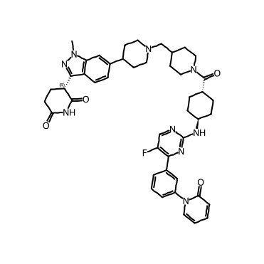 Cn1nc([C@H]2CCC(=O)NC2=O)c2ccc(C3CCN(CC4CCN(C(=O)[C@H]5CC[C@H](Nc6ncc(F)c(-c7cccc(-n8ccccc8=O)c7)n6)CC5)CC4)CC3)cc21